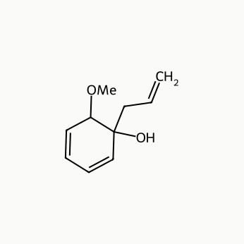 C=CCC1(O)C=CC=CC1OC